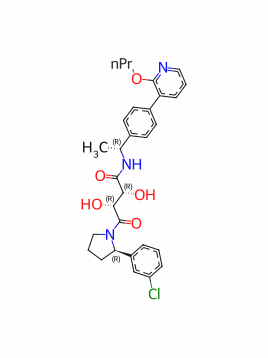 CCCOc1ncccc1-c1ccc([C@@H](C)NC(=O)[C@H](O)[C@@H](O)C(=O)N2CCC[C@@H]2c2cccc(Cl)c2)cc1